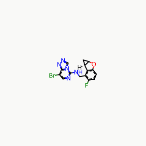 Fc1ccc2c(c1CNc1ncc(Br)c3nncn13)[C@H]1CC1O2